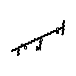 CCCCC(CCCC)CCOC(=O)CCCCCCCCCC(CCCCCCCCCC(=O)OCCC(CCCC)CCCC)OCCCCN(C)C(C)C